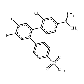 CN(C)c1ccc(-c2cc(F)c(F)cc2-c2ccc(S(C)(=O)=O)cc2)c(Cl)c1